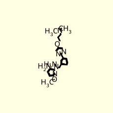 COc1ccc(N)c(N(N)Cc2cccc(-c3ncc(OCCCN(C)C)cn3)c2)n1